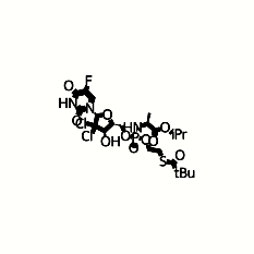 CC(C)OC(=O)[C@H](C)N[P@@](=O)(OCCSC(=O)C(C)(C)C)OC[C@H]1O[C@@H](n2cc(F)c(=O)[nH]c2=O)C(Cl)(Cl)[C@@H]1O